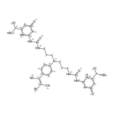 CCCCC(CC)c1cc(=O)nc(NC(=O)NCCCN(CCCNC(=O)Nc2nc(=O)cc(C(CC)CCCC)[nH]2)c2ccc(C(C#N)=C(C#N)C#N)cc2)[nH]1